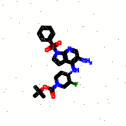 CC(C)(C)OC(=O)N1CC[C@H](Nc2c(N)cnc3c2ccn3S(=O)(=O)c2ccccc2)[C@@H](F)C1